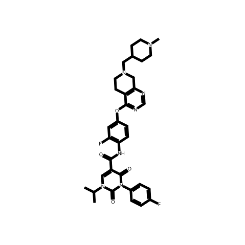 CC(C)n1cc(C(=O)Nc2ccc(Oc3ncnc4c3CCN(CC3CCN(C)CC3)C4)cc2F)c(=O)n(-c2ccc(F)cc2)c1=O